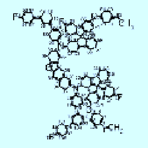 C=CC1=CCC(OC2=CC=C(C3(c4ccc(F)cc4)C4=C(C=CC(N(C5=Cc6cc7c8c(oc7cc6CC5)CCC(N(C5=CC=C(C6=CCCC(c7ccc(F)cc7)=C6)CC5)C5C=CC6c7ccccc7C(c7ccc(OC9=CC=C(C=C)CC9)cc7)(C7CC=C(F)CC7)C6C5)=C8)c5ccc(-c6cccc(C7=CC=C(F)CC7)c6)cc5)C4)C4C=CCCC43)CC2)C=C1